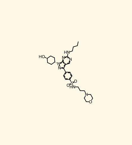 CCCCNc1ncc2c(-c3ccc(S(=O)(=O)NCCCN4CCOCC4)cc3)nn([C@H]3CC[C@H](O)CC3)c2n1